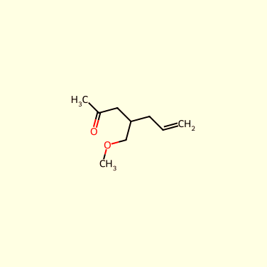 C=CCC(COC)CC(C)=O